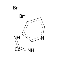 [Br-].[Br-].[NH]=[Co+2]=[NH].c1ccncc1